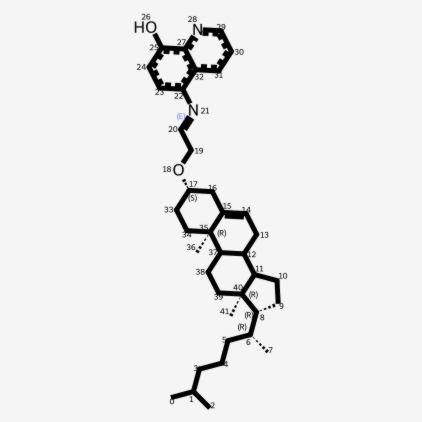 CC(C)CCC[C@@H](C)[C@H]1CCC2C3CC=C4C[C@@H](OC/C=N/c5ccc(O)c6ncccc56)CC[C@]4(C)C3CC[C@@]21C